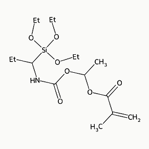 C=C(C)C(=O)OC(C)OC(=O)NC(CC)[Si](OCC)(OCC)OCC